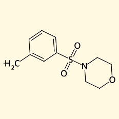 [CH2]c1cccc(S(=O)(=O)N2CCOCC2)c1